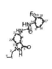 CCCn1[nH]c(=O)c2cc(NC(=O)Nc3ccccc3F)ccc21